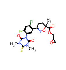 Cn1c(=S)n(C)c(=O)n(-c2cc(C3=NOC(C)(C(=O)OCC4CO4)CC3)c(Cl)cc2F)c1=O